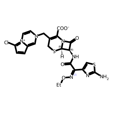 CCO/N=C(\C(=O)N[C@@H]1C(=O)N2C(C(=O)[O-])=C(Cn3cc[n+]4c(Cl)ccc-4c3)CS[C@H]12)c1csc(N)n1